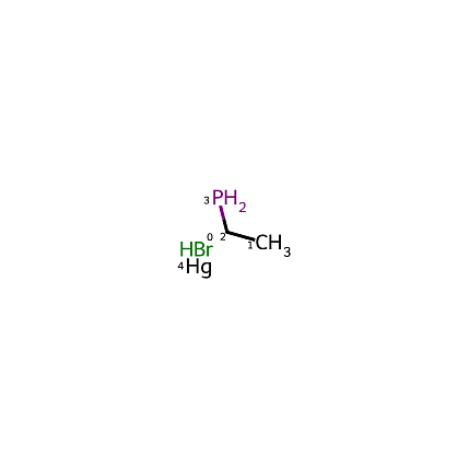 Br.CCP.[Hg]